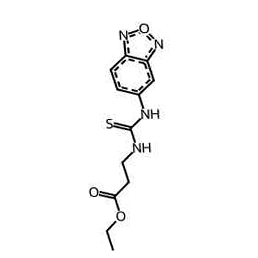 CCOC(=O)CCNC(=S)Nc1ccc2nonc2c1